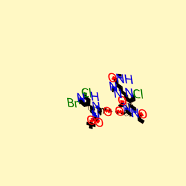 C=CC(=O)N1C[C@@H](COC)N(C(C)=O)[C@H](c2cc(Cl)nc(-c3cc(C(=O)NC)ncn3)c2)C1.COC[C@@H]1CN(C(=O)OC(C)(C)C)C[C@@H](c2cc(Cl)nc(Br)c2)N1